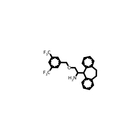 NC(COCc1cc(C(F)(F)F)cc(C(F)(F)F)c1)C1c2ccccc2CCc2ccccc21